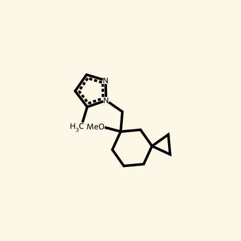 COC1(Cn2nccc2C)CCCC2(CC2)C1